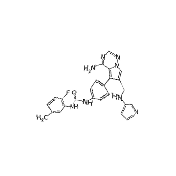 Cc1ccc(F)c(NC(=O)Nc2ccc(-c3c(CNc4cccnc4)cn4ncnc(N)c34)cc2)c1